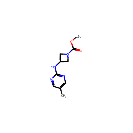 CC(C)(C)OC(=O)N1CC(Nc2ncc(C(F)(F)F)cn2)C1